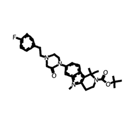 Cn1c2c(c3ccc(N4CCN(CCc5ccc(F)cc5)CC4=O)cc31)C(C)(C)N(C(=O)OC(C)(C)C)CC2